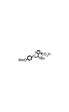 COc1ccc(OCC(c2nccn2C(=O)O)C(C)(C)C)cc1